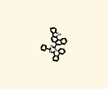 c1ccc(-c2nc(-c3ccccc3-c3ccccc3)nc(-c3cc4ccccc4c4c3ccc3c5ccccc5[se]c34)n2)cc1